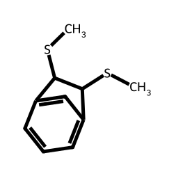 CSC1c2cccc(c2)C1SC